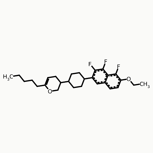 CCCCCC1=CCC(C2CCC(c3cc4ccc(OCC)c(F)c4c(F)c3F)CC2)CO1